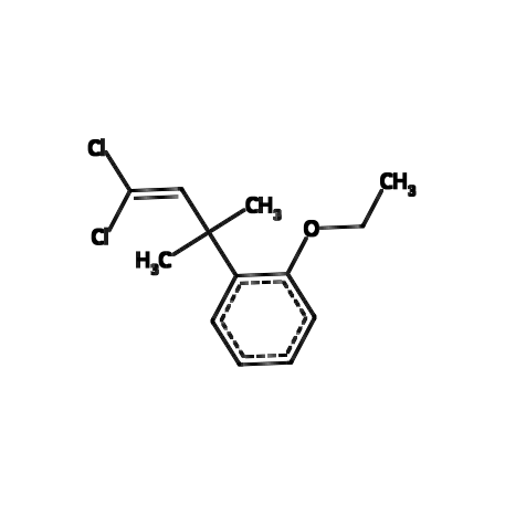 CCOc1ccccc1C(C)(C)C=C(Cl)Cl